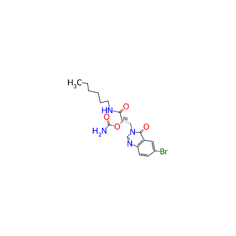 CCCCCCNC(=O)[C@H](Cn1cnc2ccc(Br)cc2c1=O)OC(N)=O